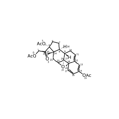 CC(=O)OCC(=O)[C@@]1(OC(C)=O)CC[C@H]2[C@@H]3CC=C4C=C(OC(C)=O)C=C[C@]4(C)[C@]34OC4C[C@@]21C